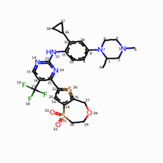 CC1CN(C)CCN1c1ccc(Nc2ncc(C(F)(F)F)c(-c3cc4c(s3)COCCS4(=O)=O)n2)c(C2CC2)c1